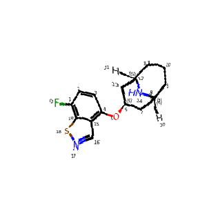 Fc1ccc(O[C@@H]2C[C@H]3CCC[C@@H](C2)N3)c2cnsc12